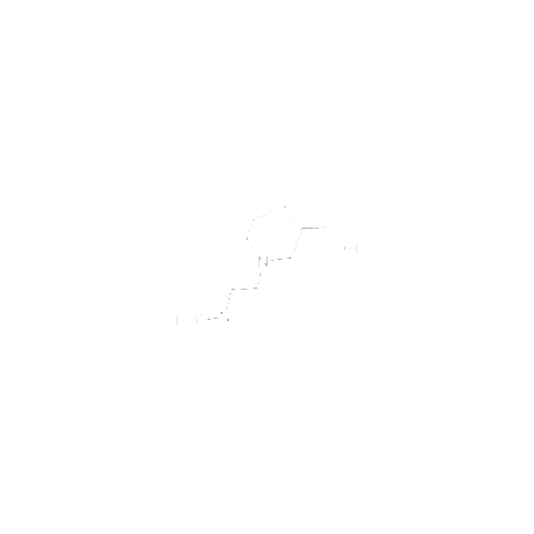 CNCCN1CCOC(CO)C1